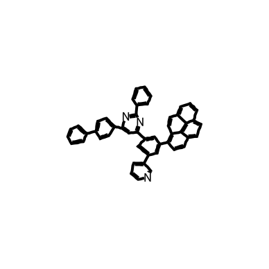 c1ccc(-c2ccc(-c3cc(-c4cc(-c5cccnc5)cc(-c5ccc6ccc7cccc8ccc5c6c78)c4)nc(-c4ccccc4)n3)cc2)cc1